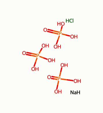 Cl.O=P(O)(O)O.O=P(O)(O)O.O=P(O)(O)O.[NaH]